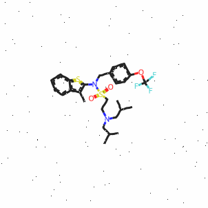 Cc1c(N(Cc2ccc(OC(F)(F)F)cc2)S(=O)(=O)CCN(CC(C)C)CC(C)C)sc2ccccc12